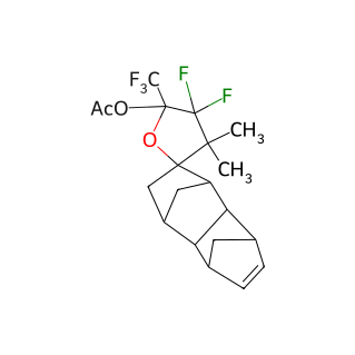 CC(=O)OC1(C(F)(F)F)OC2(CC3CC2C2C4C=CC(C4)C32)C(C)(C)C1(F)F